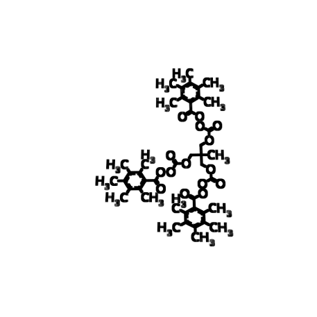 Cc1c(C)c(C)c(C(=O)OOC(=O)OCC(C)(COC(=O)OOC(=O)c2c(C)c(C)c(C)c(C)c2C)COC(=O)OOC(=O)c2c(C)c(C)c(C)c(C)c2C)c(C)c1C